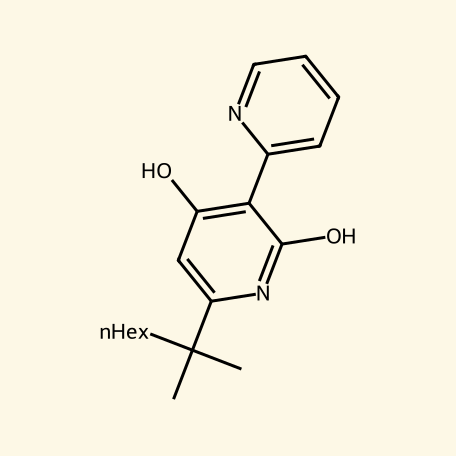 CCCCCCC(C)(C)c1cc(O)c(-c2ccccn2)c(O)n1